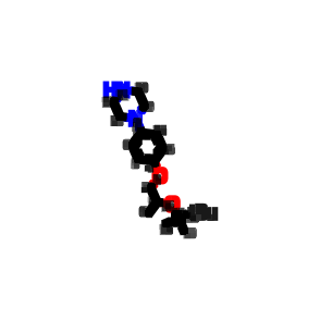 CC(COc1ccc(N2CCNCC2)cc1)O[Si](C)(C)C(C)(C)C